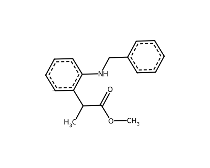 COC(=O)C(C)c1[c]cccc1NCc1ccccc1